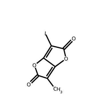 CC1=C2OC(=O)C(I)=C2OC1=O